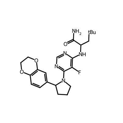 CC(C)(C)CC(Nc1ncnc(N2CCCC2c2ccc3c(c2)OCCO3)c1F)C(N)=O